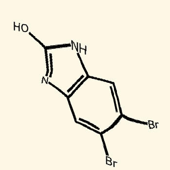 Oc1nc2cc(Br)c(Br)cc2[nH]1